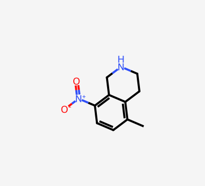 Cc1ccc([N+](=O)[O-])c2c1CCNC2